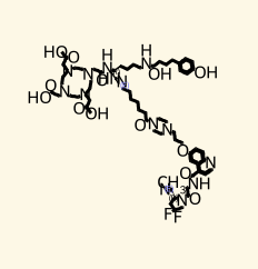 C/N=C/[C@H]1CC(F)(F)CN1C(=O)CNC(=O)c1ccnc2ccc(OCCCN3CCN(C(=O)CCCCC/C=N/N[C@H](CCCCNC(O)CCCc4ccc(O)cc4)NC(=O)CN4CCN(CC(=O)O)CCN(CC(=O)O)CCN(CC(=O)O)CC4)CC3)cc12